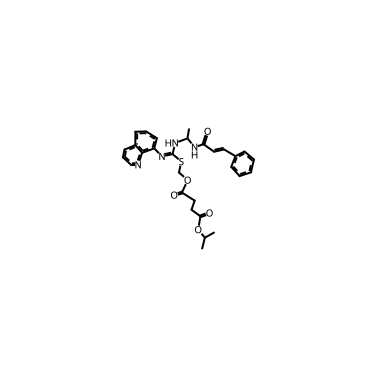 CC(NC(=O)/C=C/c1ccccc1)N/C(=N\c1cccc2cccnc12)SCOC(=O)CCC(=O)OC(C)C